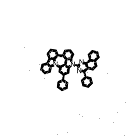 c1ccc(-c2cc3c4c5c(cccc5n3-c3nc(-c5ccccc5)c5ccc6ccccc6c5n3)c3cccc5c6ccccc6n(c4c2)c35)cc1